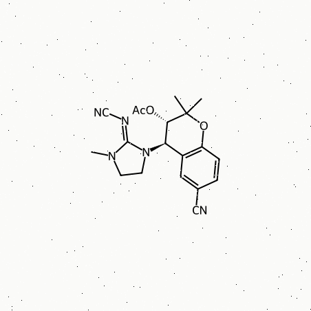 CC(=O)O[C@H]1[C@H](N2CCN(C)C2=NC#N)c2cc(C#N)ccc2OC1(C)C